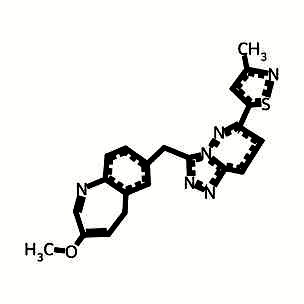 COC1=CCc2cc(Cc3nnc4ccc(-c5cc(C)ns5)nn34)ccc2N=C1